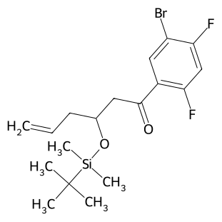 C=CCC(CC(=O)c1cc(Br)c(F)cc1F)O[Si](C)(C)C(C)(C)C